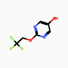 Oc1cnc(OCC(F)(F)F)nc1